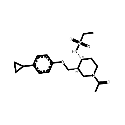 CCS(=O)(=O)N[C@@H]1CCN(C(C)=O)C[C@H]1COc1ccc(C2CC2)cc1